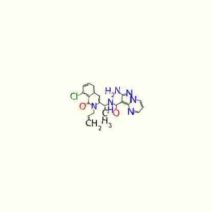 C=CCn1c([C@H](C)NC(=O)c2c(N)nn3cccnc23)cc2cccc(Cl)c2c1=O